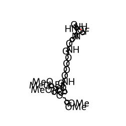 CC[C@H](C(=O)N1CCCC[C@H]1C(=O)O[C@@H](CCc1ccc(OC)c(OC)c1)c1cccc(OCC(=O)NCCOCCOCCOCCOCCC(=O)NCCOc2ccc(-n3cc(C4NC(=O)NC4=O)c(-c4ccc(F)cc4)n3)cc2)c1)c1cc(OC)c(OC)c(OC)c1